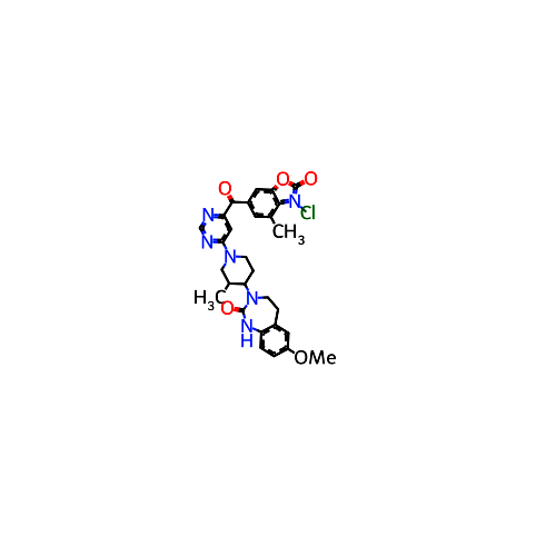 COc1ccc2c(c1)CCN(C1CCN(c3cc(C(=O)c4cc(C)c5c(c4)oc(=O)n5Cl)ncn3)CC1C)C(=O)N2